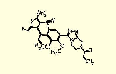 C=CC(=O)N1CCn2c(nnc2-c2cc(F)c(/C(C=C)=c3\c(C#N)c(N)s\c3=C/F)c(Cl)c2OC)C1